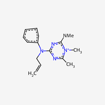 C=CCN(c1ccccc1)c1nc(C)[n+](C)c(NC)n1